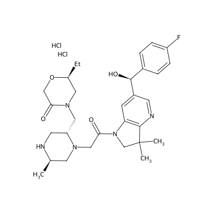 CC[C@H]1CN(C[C@H]2CN[C@H](C)CN2CC(=O)N2CC(C)(C)c3ncc([C@@H](O)c4ccc(F)cc4)cc32)C(=O)CO1.Cl.Cl